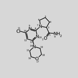 NC(=O)C1CCCN1c1nc(Cl)cc(N2CCOCC2)n1